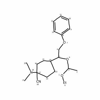 CCOC(C)OC(COc1ccccc1)C1CCC(C#N)(N(C)C)CC1